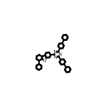 c1ccc(-c2ccc(-c3nc(-c4ccc(-c5ccccc5)cc4)nc(-c4ccc5c(c4)oc4c(-c6ccccc6)cccc45)n3)cc2)cc1